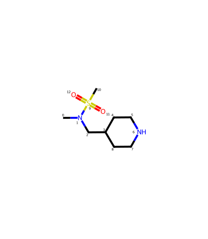 CN(CC1CCNCC1)S(C)(=O)=O